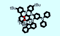 Cc1cc2c3c(c1)N(c1cccc4c1C(C)(C)c1ccccc1-4)c1cc(N(c4ccccc4)c4ccccc4)ccc1B3c1cc(C(C)(C)C)ccc1N2c1ccc(C(C)(C)C)cc1-c1ccc(C(C)(C)C)cc1